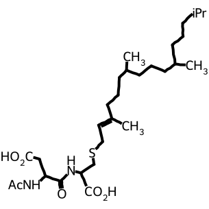 CC(=O)NC(CC(=O)O)C(=O)NC(CSC/C=C(\C)CCCC(C)CCCC(C)CCCC(C)C)C(=O)O